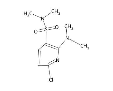 CN(C)c1nc(Cl)ccc1S(=O)(=O)N(C)C